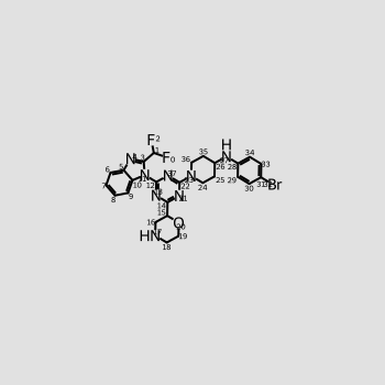 FC(F)c1nc2ccccc2n1-c1nc(C2CNCCO2)nc(N2CCC(Nc3ccc(Br)cc3)CC2)n1